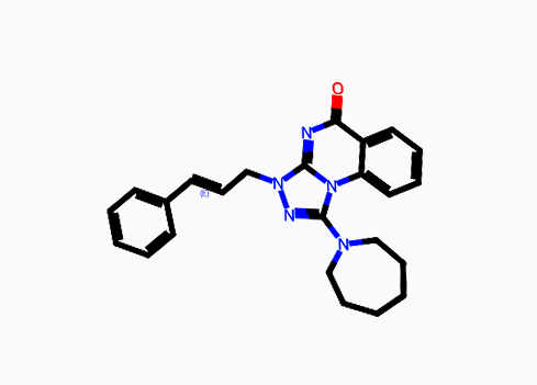 O=c1nc2n(C/C=C/c3ccccc3)nc(N3CCCCCC3)n2c2ccccc12